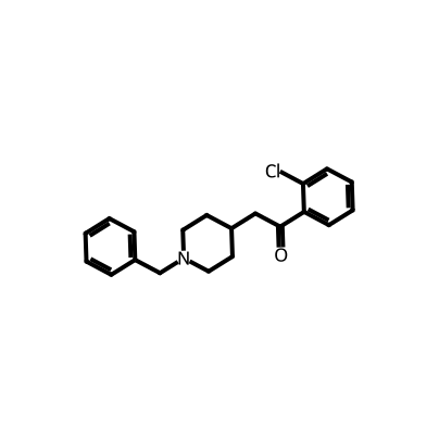 O=C(CC1CCN(Cc2ccccc2)CC1)c1ccccc1Cl